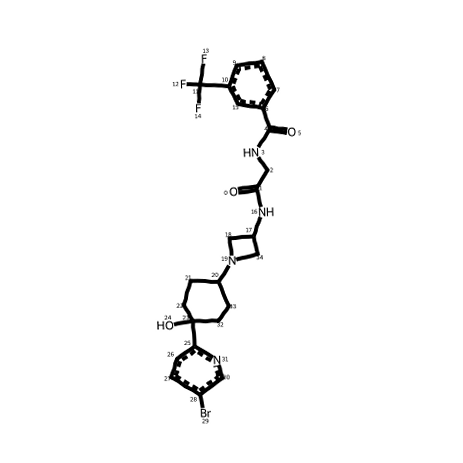 O=C(CNC(=O)c1cccc(C(F)(F)F)c1)NC1CN(C2CCC(O)(c3ccc(Br)cn3)CC2)C1